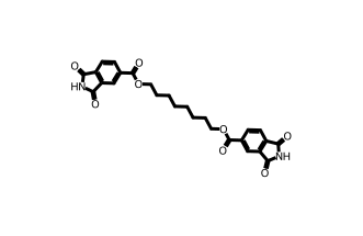 O=C(OCCCCCCCCOC(=O)c1ccc2c(c1)C(=O)NC2=O)c1ccc2c(c1)C(=O)NC2=O